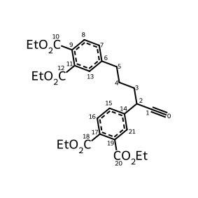 C#CC(CCCc1ccc(C(=O)OCC)c(C(=O)OCC)c1)c1ccc(C(=O)OCC)c(C(=O)OCC)c1